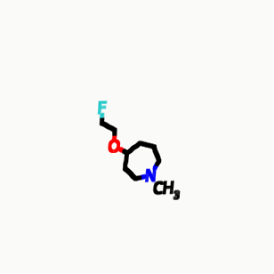 CN1CCCC(OCCF)CC1